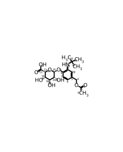 CC(=O)OCc1ccc(O[C@@H]2O[C@H](C(=O)O)[C@@H](O)[C@H](O)[C@H]2O)c(NC(C)(C)C)c1